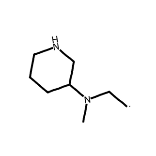 [CH2]CN(C)C1CCCNC1